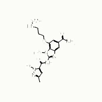 CCCn1c(NC(=O)c2cc(C)nn2CC)nc2cc(C(N)=O)cc(OCCCNSC)c21